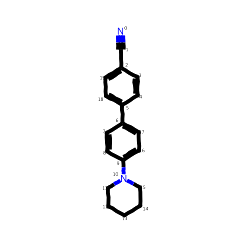 N#Cc1ccc(-c2ccc(N3CCCCC3)cc2)cc1